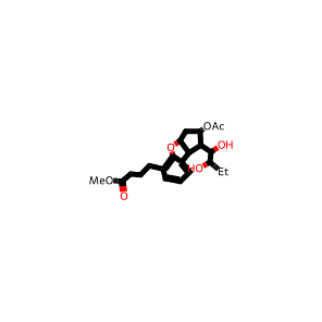 CCC(O)C(O)C1C(OC(C)=O)CC2Oc3c(CCCC(=O)OC)cccc3C21